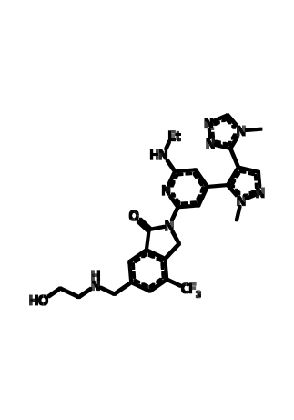 CCNc1cc(-c2c(-c3nncn3C)cnn2C)cc(N2Cc3c(cc(CNCCO)cc3C(F)(F)F)C2=O)n1